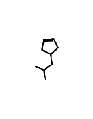 CC(C)CC1CC=CC1